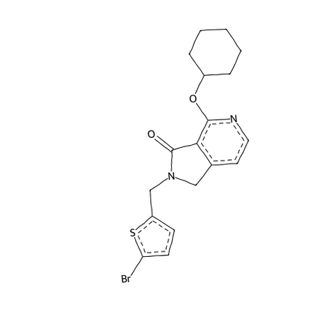 O=C1c2c(ccnc2OC2CCCCC2)CN1Cc1ccc(Br)s1